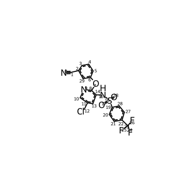 N#Cc1cccc(Oc2ncc(Cl)cc2NS(=O)(=O)c2ccc(C(F)(F)F)cc2)c1